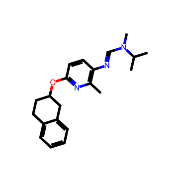 Cc1nc(OC2CCc3ccccc3C2)ccc1/N=C/N(C)C(C)C